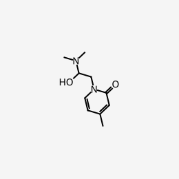 Cc1ccn(CC(O)N(C)C)c(=O)c1